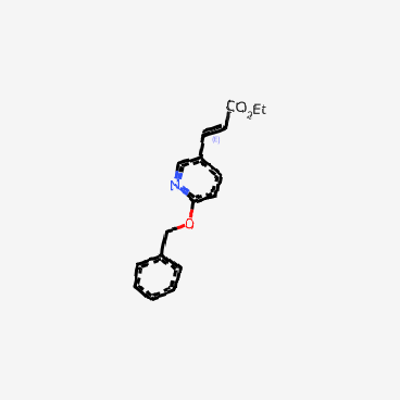 CCOC(=O)/C=C/c1ccc(OCc2ccccc2)nc1